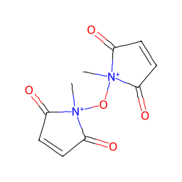 C[N+]1(O[N+]2(C)C(=O)C=CC2=O)C(=O)C=CC1=O